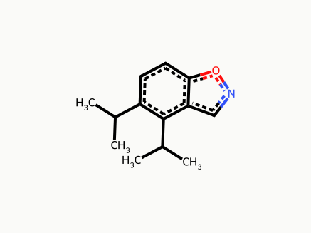 CC(C)c1ccc2oncc2c1C(C)C